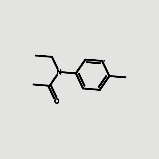 CCN(C(C)=O)c1c[c]c(C)cc1